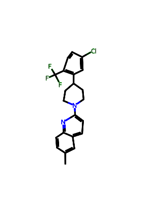 Cc1ccc2nc(N3CCC(c4cc(Cl)ccc4C(F)(F)F)CC3)ccc2c1